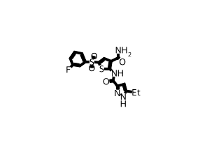 CCc1cc(C(=O)Nc2sc(S(=O)(=O)c3cccc(F)c3)cc2C(N)=O)n[nH]1